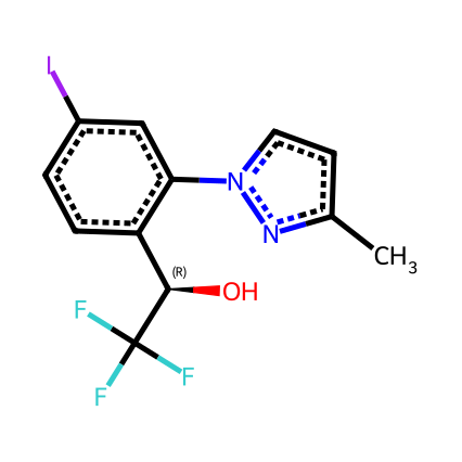 Cc1ccn(-c2cc(I)ccc2[C@@H](O)C(F)(F)F)n1